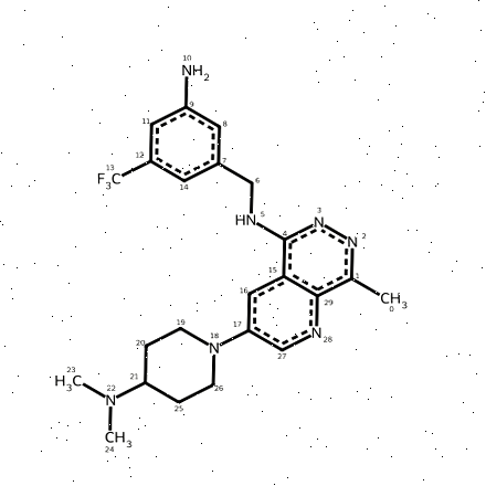 Cc1nnc(NCc2cc(N)cc(C(F)(F)F)c2)c2cc(N3CCC(N(C)C)CC3)cnc12